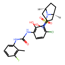 Cc1c(F)cccc1NC(=O)Nc1ccc(Cl)c(S(=O)(=O)N2[C@@H]3CC[C@H]2CC(=NO)C3)c1O